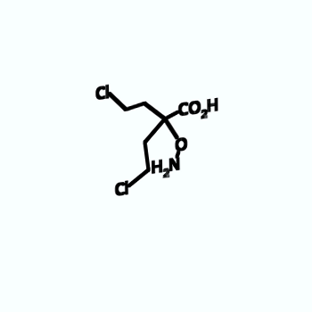 NOC(CCCl)(CCCl)C(=O)O